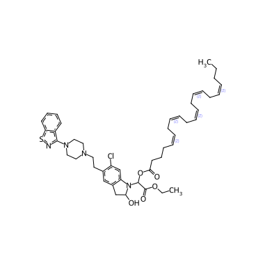 CCC/C=C\C/C=C\C/C=C\C/C=C\C/C=C\CCCC(=O)OC(C(=O)OCC)N1c2cc(Cl)c(CCN3CCN(c4nsc5ccccc45)CC3)cc2CC1O